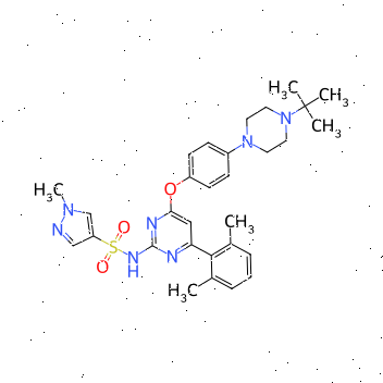 Cc1cccc(C)c1-c1cc(Oc2ccc(N3CCN(C(C)(C)C)CC3)cc2)nc(NS(=O)(=O)c2cnn(C)c2)n1